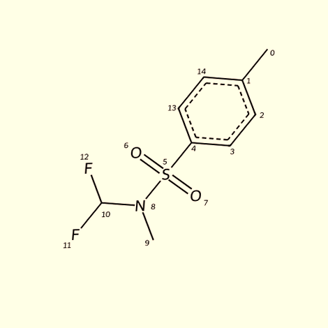 Cc1ccc(S(=O)(=O)N(C)C(F)F)cc1